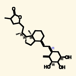 C=C1/C(=C\C=C2CCC[C@@]3(C)C2CC[C@@H]3[C@H](C)CC2CC(C)C(=O)O2)C[C@@H](O)C(O)[C@H]1O